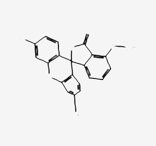 [CH2]CCCCCNc1cccc2c1C(=O)OC21c2ccc(O)cc2Oc2cc(O)ccc21